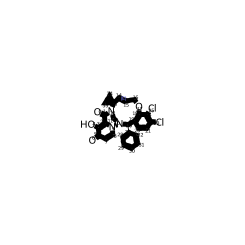 O=C1c2c(O)c(=O)ccn2N2CN1C1(/C=C/COc3c(ccc(Cl)c3Cl)[C@@H]2c2ccccc2)CC1